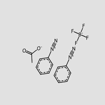 CC(=O)[O-].F[B-](F)(F)F.N#[N+]c1ccccc1.N#[N+]c1ccccc1